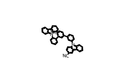 N#Cc1ccc2c(c1)c1ccccc1n2-c1cccc(-c2ccc(C#N)c(-c3ccccc3-n3c4ccccc4c4ccccc43)c2)c1